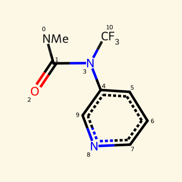 CNC(=O)N(c1cccnc1)C(F)(F)F